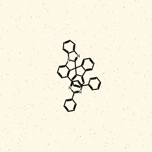 c1ccc(-c2cc(-c3cccc4c3C3(c5ccccc5-c5ccccc53)c3nc5ccccc5n3-4)nc(-c3ccccc3)n2)cc1